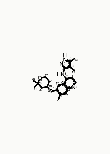 Cc1cc2nccc(Nc3n[nH]c(C)c3C)c2cc1SC1CCOC(C)(C)C1